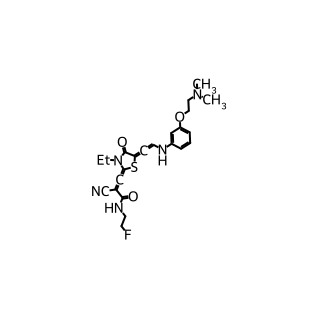 CCn1c(=C=C(C#N)C(=O)NCCF)sc(=C=CNc2cccc(OCCN(C)C)c2)c1=O